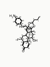 CCCC1OC2CC3C4C[C@H](F)C5=CC(=O)C=CC5(C)[C@@]4(F)C(O)CC3(C)C2(C(=O)CNc2ccc(N)cc2)O1